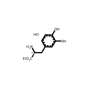 CCOC(=O)[C@@H](N)Cc1ccc(O)c(O)c1.Cl